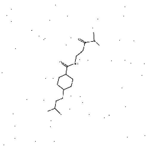 CC(C)CCC1CCC(C(=O)NCCC(=O)C(C)C)CC1